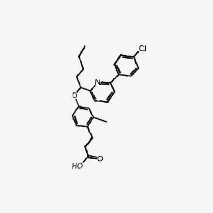 CCCCC(Oc1ccc(CCC(=O)O)c(C)c1)c1cccc(-c2ccc(Cl)cc2)n1